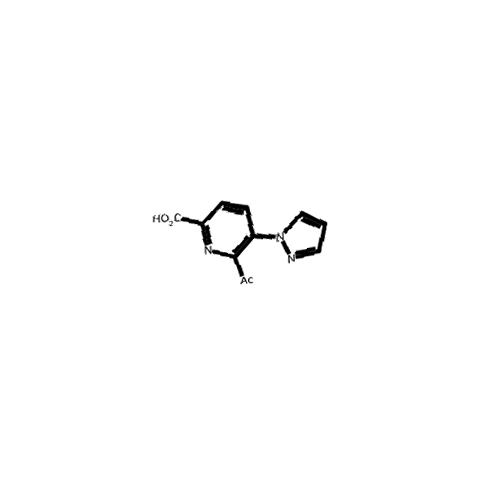 CC(=O)c1nc(C(=O)O)ccc1-n1cccn1